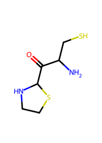 NC(CS)C(=O)C1NCCS1